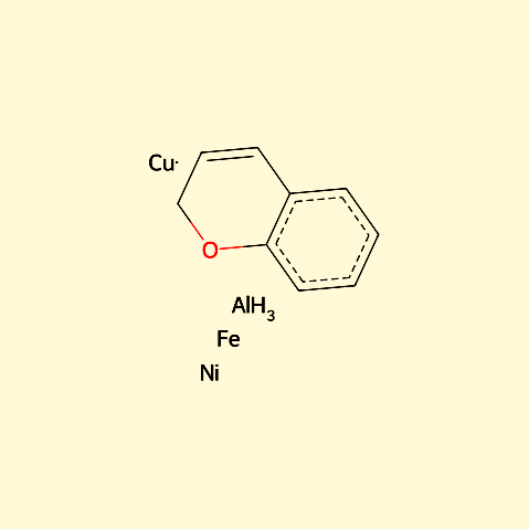 C1=Cc2ccccc2OC1.[AlH3].[Cu].[Fe].[Ni]